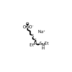 CCNSCN(CC)SCSCCCS(=O)(=O)[O-].[Na+]